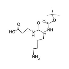 CC(C)(C)OC(=O)N[C@@H](CCCCN)C(=O)NCCC(=O)O